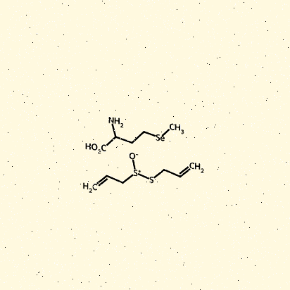 C=CCS[S+]([O-])CC=C.C[Se]CCC(N)C(=O)O